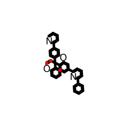 c1ccc(-c2cccc(-c3ccc4c(c3)Oc3cc(-c5ccccn5)ccc3C43c4ccccc4Oc4ccccc43)n2)cc1